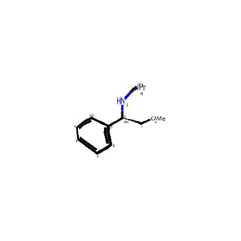 COC[C@H](NC(C)C)c1ccccc1